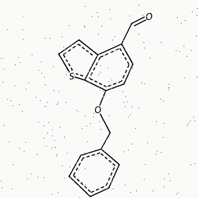 O=Cc1ccc(OCc2ccccc2)c2sccc12